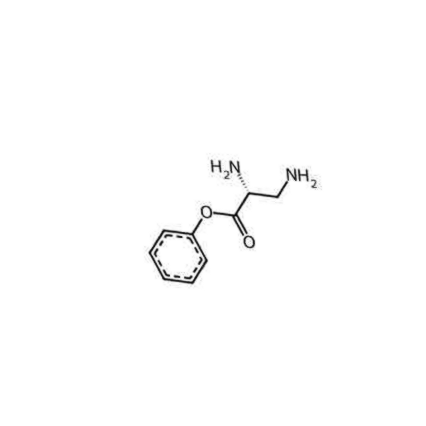 NC[C@@H](N)C(=O)Oc1ccccc1